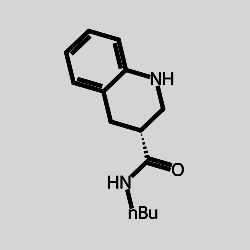 CCCCNC(=O)[C@H]1CNc2ccccc2C1